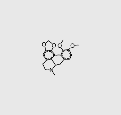 COc1ccc2c(c1OC)-c1c3c(cc4c1C(C2)N(C)CC4)OCO3